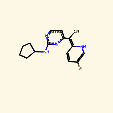 N#C/C(=C1/C=CC(Br)=CN1)c1ccnc(NC2CCCC2)n1